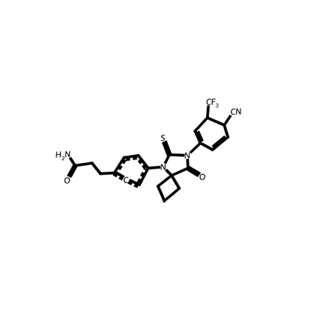 N#CC1C=CC(N2C(=O)C3(CCC3)N(c3ccc(CCC(N)=O)cc3)C2=S)=CC1C(F)(F)F